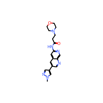 Cn1cc(-c2cnc3cnc(NC(=O)CCN4CCOCC4)cc3c2)cn1